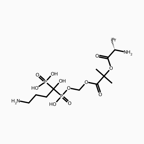 CC(C)[C@H](N)C(=O)OC(C)(C)C(=O)OCOP(=O)(O)C(O)(CCCN)P(=O)(O)O